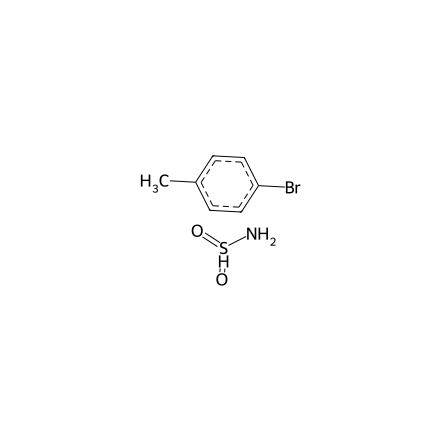 Cc1ccc(Br)cc1.N[SH](=O)=O